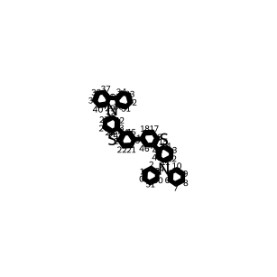 c1ccc(N(c2ccccc2)c2ccc3sc4ccc(-c5ccc6sc7ccc(-n8c9ccccc9c9ccccc98)cc7c6c5)cc4c3c2)cc1